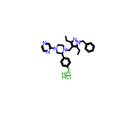 CCc1nn(Cc2ccccc2)c(CC)c1CN1CCN(c2cnccn2)CC1c1ccc(F)cc1.Cl.Cl